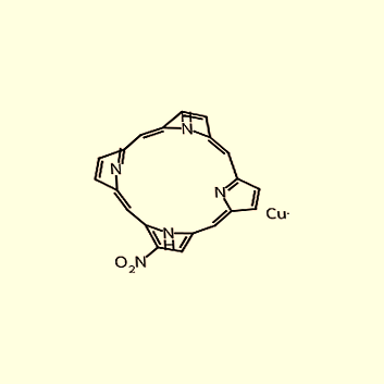 O=[N+]([O-])c1cc2cc3nc(cc4ccc(cc5nc(cc1[nH]2)C=C5)[nH]4)C=C3.[Cu]